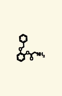 NCC(=O)Oc1ccccc1OCc1ccccc1